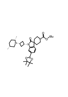 C[C@@H]1CC[C@H](C)N([C@H]2C[C@@H](N3C(=O)C4(CCN(C(=O)OC(C)(C)C)CC4)c4ccc(B5OC(C)(C)C(C)(C)O5)cc43)C2)C1